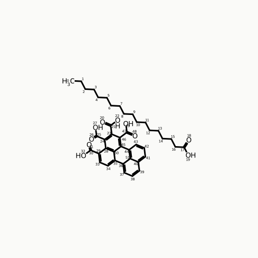 CCCCCCCCCCCCCCCCCC(=O)O.O=C(O)c1c(C(=O)O)c2c(C(=O)O)ccc3c4cccc5cccc(c(c1C(=O)O)c23)c54